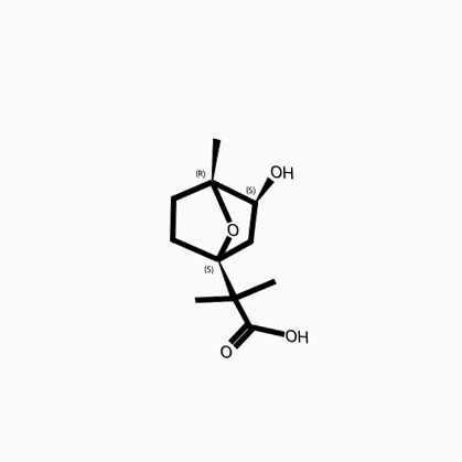 CC(C)(C(=O)O)[C@@]12CC[C@@](C)(O1)[C@@H](O)C2